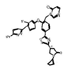 CC(C)c1ccc(-c2ccc(Oc3cc(-c4nc([C@H]5CC(=O)N(C6CC6)C5)no4)ccc3Cn3cnccc3=O)cc2F)nn1